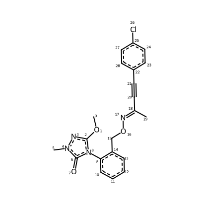 COc1nn(C)c(=O)n1-c1ccccc1CO/N=C(\C)C#Cc1ccc(Cl)cc1